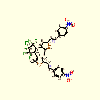 Cc1sc(/C=C/c2ccc([N+](=O)[O-])cc2)cc1C1=C(c2cc(/C=C/c3ccc([N+](=O)[O-])cc3)sc2C)C(F)(F)C(F)(F)C1(F)F